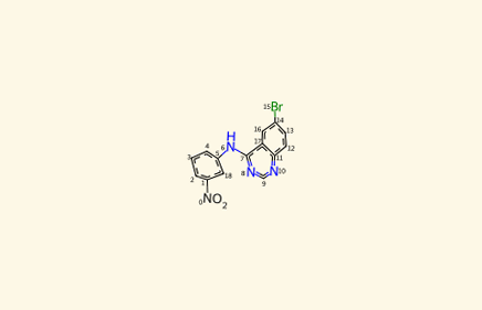 O=[N+]([O-])c1cccc(Nc2ncnc3ccc(Br)cc23)c1